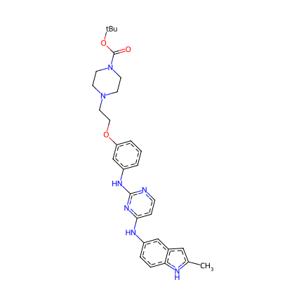 Cc1cc2cc(Nc3ccnc(Nc4cccc(OCCN5CCN(C(=O)OC(C)(C)C)CC5)c4)n3)ccc2[nH]1